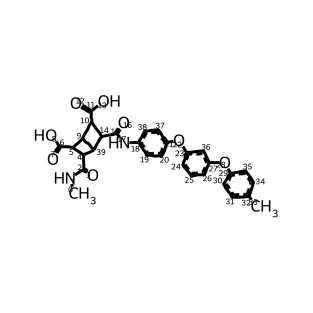 CNC(=O)C1C(C(=O)O)C2C(C(=O)O)C(C(=O)Nc3ccc(Oc4cccc(Oc5ccc(C)cc5)c4)cc3)C12